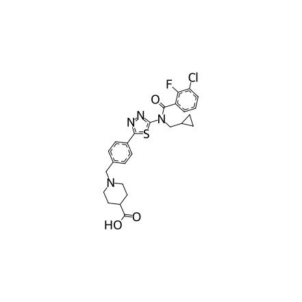 O=C(O)C1CCN(Cc2ccc(-c3nnc(N(CC4CC4)C(=O)c4cccc(Cl)c4F)s3)cc2)CC1